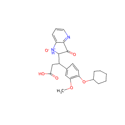 COc1cc(C(CC(=O)O)C2C(=O)c3ncccc3[NH+]2[O-])ccc1OC1CCCCC1